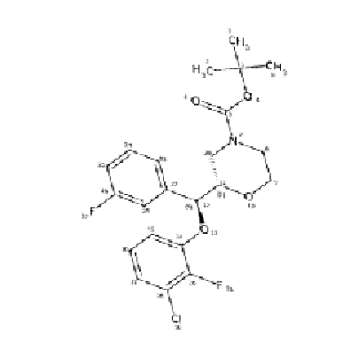 CC(C)(C)OC(=O)N1CCO[C@H]([C@@H](Oc2cccc(Cl)c2F)c2cccc(F)c2)C1